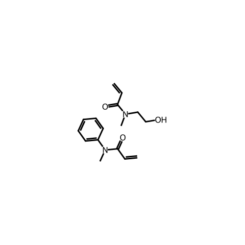 C=CC(=O)N(C)CCO.C=CC(=O)N(C)c1ccccc1